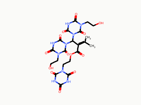 CC(C)=C(C(=O)OCCn1c(=O)[nH]c(=O)[nH]c1=O)C(n1c(=O)[nH]c(=O)n(CCO)c1=O)n1c(=O)[nH]c(=O)n(CCO)c1=O